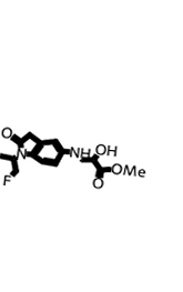 COC(=O)C(O)CNc1ccc2c(c1)CC(=O)N2C(C)CF